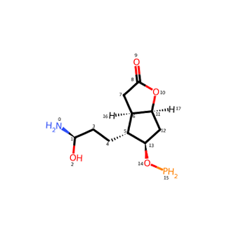 N[C@H](O)CC[C@@H]1[C@H]2CC(=O)O[C@H]2C[C@H]1OP